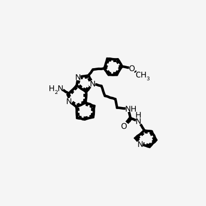 COc1ccc(Cc2nc3c(N)nc4ccccc4c3n2CCCCNC(=O)Nc2cccnc2)cc1